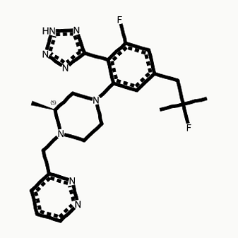 C[C@H]1CN(c2cc(CC(C)(C)F)cc(F)c2-c2nn[nH]n2)CCN1Cc1cccnn1